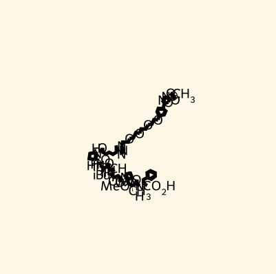 CC[C@H](C)[C@@H]([C@@H](CC(=O)N1CCCC1[C@H](OC)[C@@H](C)C(=O)NC(Cc1ccccc1)C(=O)O)OC)N(C)C(=O)C(NC(=O)[C@@H]1[C@H]2CC[C@H](C2)N1C(=O)CCCc1cn(CCOCCOCCOCCOc2ccc(-c3nnc(S(C)(=O)=O)o3)cc2)nn1)C(C)C